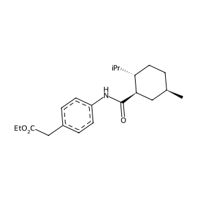 CCOC(=O)Cc1ccc(NC(=O)[C@@H]2C[C@H](C)CC[C@H]2C(C)C)cc1